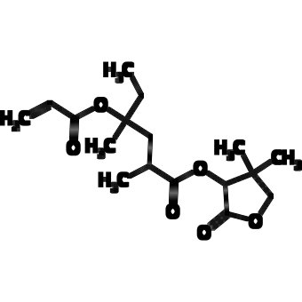 C=CC(=O)OC(C)(CC)CC(C)C(=O)OC1C(=O)OCC1(C)C